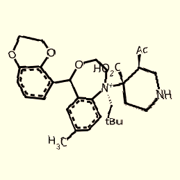 CC(=O)[C@H]1CNCC[C@]1(C(=O)O)[N@+]1(CC(C)(C)C)CCOC(c2cccc3c2OCCO3)c2cc(C)ccc21